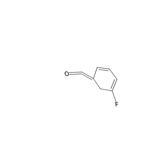 O=C=C1C=CC=C(F)C1